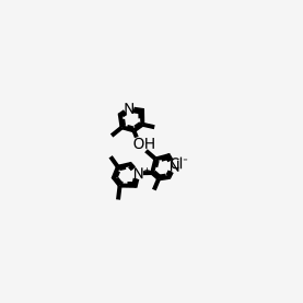 Cc1cc(C)c[n+](-c2c(C)cncc2C)c1.Cc1cncc(C)c1O.[Cl-]